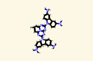 CN(C)c1ccc2c(c1)c1cc(N(C)C)ccc1n2C1=NC2=CC(F)=CC3=NC(n4c5ccc(N(C)C)cc5c5cc(N(C)C)ccc54)=NC(=N1)N23